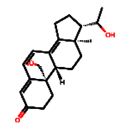 CC(O)[C@H]1CCC2=C3C=CC4=CC(=O)CC[C@]4(CO)[C@H]3CC[C@@]21C